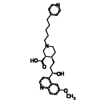 COc1ccc2nccc([C@H](O)CC[C@@H]3CCN(CCCCCc4ccncc4)C[C@@H]3C(=O)O)c2c1